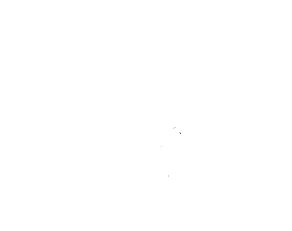 CCCCCCN(C)C(=O)C(C)(C)C